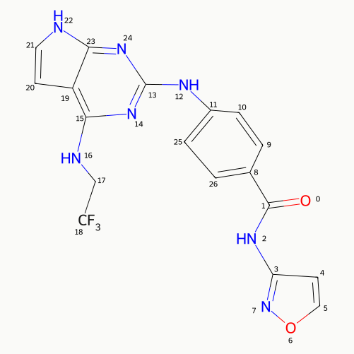 O=C(Nc1ccon1)c1ccc(Nc2nc(NCC(F)(F)F)c3cc[nH]c3n2)cc1